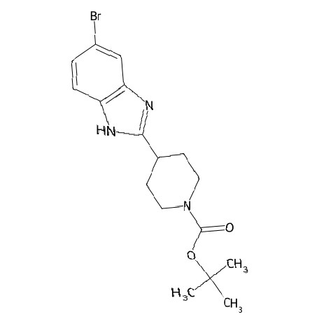 CC(C)(C)OC(=O)N1CCC(c2nc3cc(Br)ccc3[nH]2)CC1